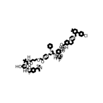 Cc1ncsc1-c1ccc([C@H](C)NC(=O)[C@@H]2C[C@@H](O)CN2C(=O)[C@@H](NC(=O)CCCOCC(=O)N2CCN(CC[C@H](CSc3ccccc3)Nc3ccc(S(=O)(=O)NC(=O)c4ccc5c(c4)CCC4CN(CC6=C(c7ccc(Cl)cc7)CCC(C)(C)C6)CCN54)cc3S(=O)(=O)C(F)(F)F)CC2)C(C)(C)C)cc1